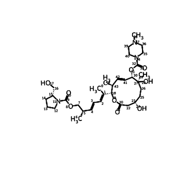 C/C(=C\C=C\[C@@H](C)COC(=O)N1CCC[C@@H]1CO)[C@H]1OC(=O)C[C@@H](O)CC[C@](C)(O)[C@@H](OC(=O)N2CCN(C)CC2)/C=C/[C@@H]1C